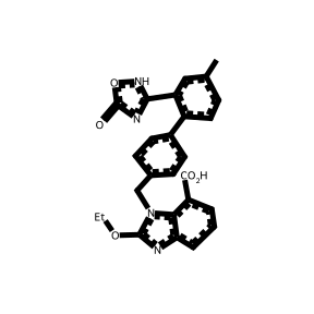 CCOc1nc2cccc(C(=O)O)c2n1Cc1ccc(-c2ccc(C)cc2-c2nc(=O)o[nH]2)cc1